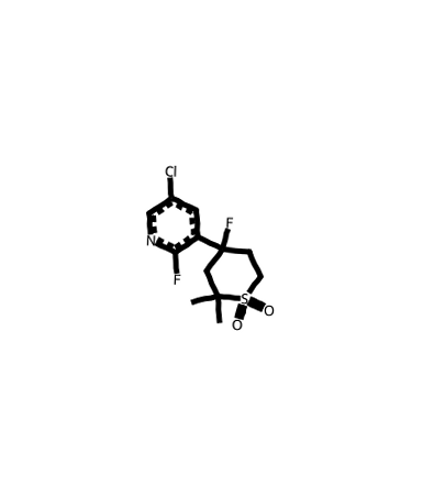 CC1(C)CC(F)(c2cc(Cl)cnc2F)CCS1(=O)=O